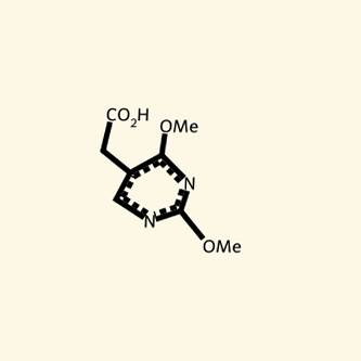 COc1ncc(CC(=O)O)c(OC)n1